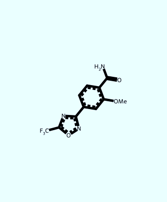 COc1cc(-c2noc(C(F)(F)F)n2)ccc1C(N)=O